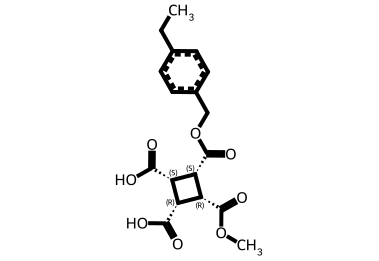 CCc1ccc(COC(=O)[C@H]2[C@@H](C(=O)O)[C@@H](C(=O)O)[C@H]2C(=O)OC)cc1